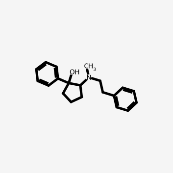 CN(CCc1ccccc1)C1CCCC1(O)c1ccccc1